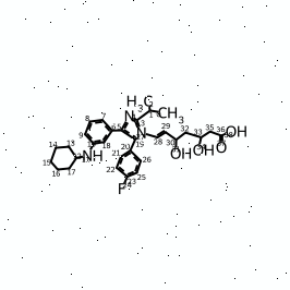 CC(C)c1nc(-c2cccc(NC3CCCCC3)c2)c(-c2ccc(F)cc2)n1/C=C/C(O)CC(O)CC(=O)O